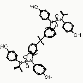 C=C(C)N(c1ccc(O)cc1)P(=O)(Oc1ccc(C(C)(C)c2ccc(OP(=O)(N(C(=C)C)c3ccc(O)cc3)N(C(=C)C)c3ccc(O)cc3)cc2)cc1)N(C(=C)C)c1ccc(O)cc1